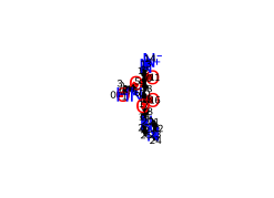 CO[C@H](C)C(=O)N[C@@H](CCC(=O)C=[N+]=[N-])C(=O)OCCN1CCN(C)CC1